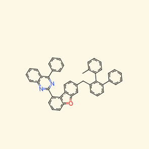 Cc1ccccc1-c1c(Cc2ccc3c(c2)oc2cccc(-c4nc(-c5ccccc5)c5ccccc5n4)c23)cccc1-c1ccccc1